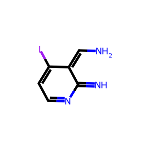 N=C1N=CC=C(I)/C1=C/N